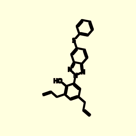 C=CCc1cc(CC=C)c(O)c(-n2nc3ccc(Sc4ccccc4)cc3n2)c1